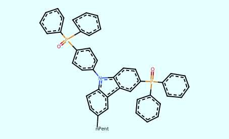 CCCCCc1ccc2c(c1)c1cc(P(=O)(c3ccccc3)c3ccccc3)ccc1n2-c1ccc(P(=O)(c2ccccc2)c2ccccc2)cc1